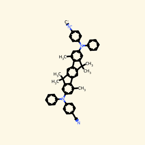 [C-]#[N+]c1ccc(N(c2ccccc2)c2cc(C)c3c(c2)C(C)(C)c2cc4c(cc2-3)C(C)(C)c2cc(N(c3ccccc3)c3ccc(C#N)cc3)cc(C)c2-4)cc1